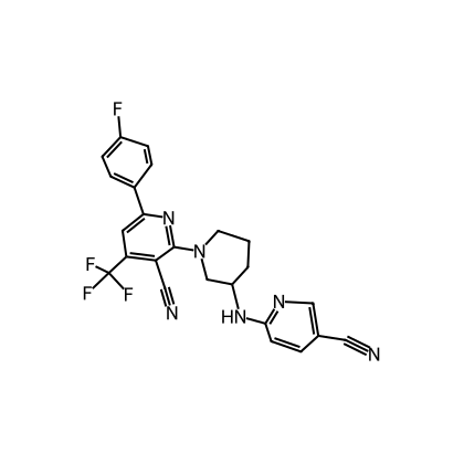 N#Cc1ccc(NC2CCCN(c3nc(-c4ccc(F)cc4)cc(C(F)(F)F)c3C#N)C2)nc1